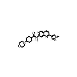 Cn1cc(-c2ccc3cnc(NC(=O)C4CCC(N5CCOCC5)CC4)cc3n2)cn1